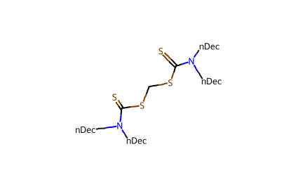 CCCCCCCCCCN(CCCCCCCCCC)C(=S)SCSC(=S)N(CCCCCCCCCC)CCCCCCCCCC